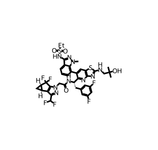 CCS(=O)(=O)Nc1nn(C)c2c(-c3cc4sc(NCC(C)(C)O)nc4nc3[C@H](Cc3cc(F)cc(F)c3)NC(=O)Cn3nc(C(F)F)c4c3C(F)(F)[C@@H]3C[C@H]43)cccc12